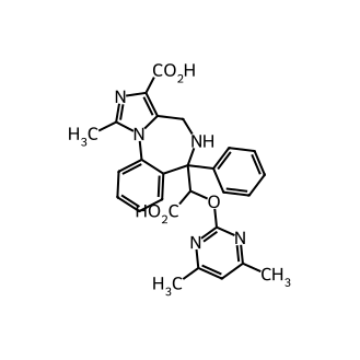 Cc1cc(C)nc(OC(C(=O)O)C2(c3ccccc3)NCc3c(C(=O)O)nc(C)n3-c3ccccc32)n1